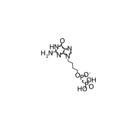 Nc1nc2c(ncn2CCCCO/[P+]([O-])=C/P(=O)(O)O)c(=O)[nH]1